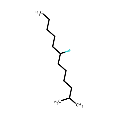 CCCCCC(F)CCCCC(C)C